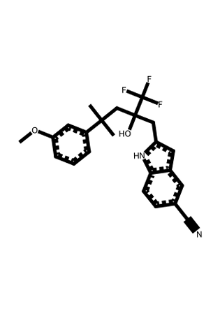 COc1cccc(C(C)(C)CC(O)(Cc2cc3cc(C#N)ccc3[nH]2)C(F)(F)F)c1